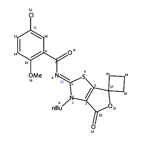 CCCCn1c2c(s/c1=N\C(=O)c1cc(Cl)ccc1OC)C1(CCC1)OC2=O